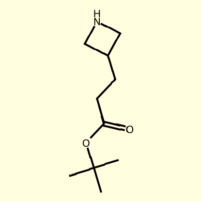 CC(C)(C)OC(=O)CCC1CNC1